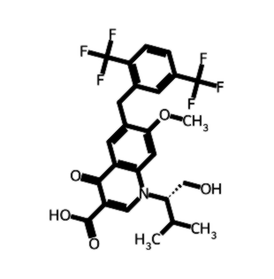 COc1cc2c(cc1Cc1cc(C(F)(F)F)ccc1C(F)(F)F)c(=O)c(C(=O)O)cn2[C@H](CO)C(C)C